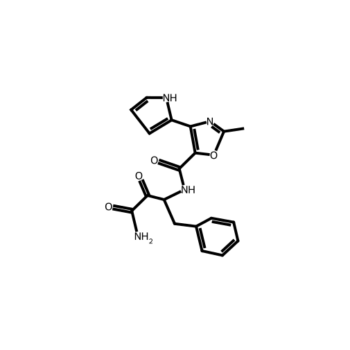 Cc1nc(-c2ccc[nH]2)c(C(=O)NC(Cc2ccccc2)C(=O)C(N)=O)o1